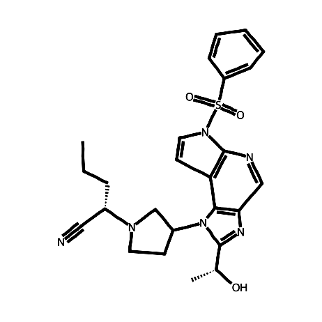 CCC[C@@H](C#N)N1CCC(n2c([C@@H](C)O)nc3cnc4c(ccn4S(=O)(=O)c4ccccc4)c32)C1